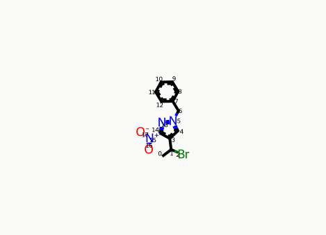 CC(Br)c1cn(Cc2ccccc2)nc1[N+](=O)[O-]